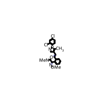 CNC(=O)/C(=N/OC)c1ccccc1/C=C/c1cnn(-c2ccc(Cl)cc2Cl)c1C